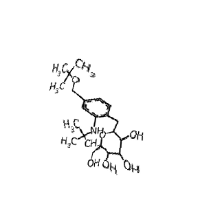 CC(C)(C)Nc1cc(COC(C)(C)C)ccc1CC1OC(CO)C(O)C(O)C1O